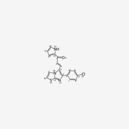 O=C(/C=C/c1c(-c2ccc(Cl)cc2)nc2sccn12)c1ccc[nH]1